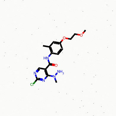 COCCOc1ccc(NC(=O)c2cnc(Cl)nc2N(C)N)c(C)c1